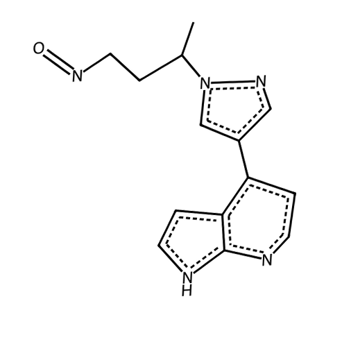 CC(CCN=O)n1cc(-c2ccnc3[nH]ccc23)cn1